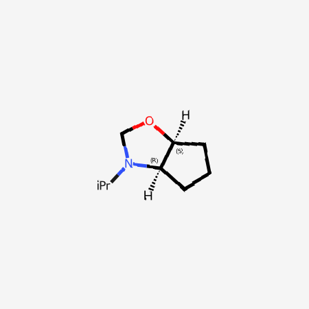 CC(C)N1CO[C@H]2CCC[C@H]21